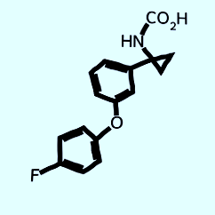 O=C(O)NC1(c2cccc(Oc3ccc(F)cc3)c2)CC1